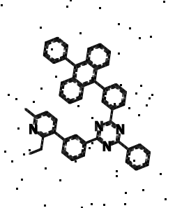 CCc1nc(C)ccc1-c1cccc(-c2nc(-c3ccccc3)nc(-c3cccc(-c4c5ccccc5c(-c5ccccc5)c5ccccc45)c3)n2)c1